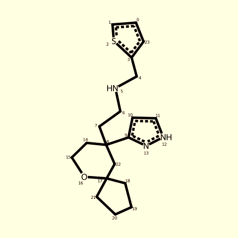 c1csc(CNCCC2(c3cc[nH]n3)CCOC3(CCCC3)C2)c1